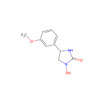 O=C1NC(c2cccc(OC(F)(F)F)c2)CN1O